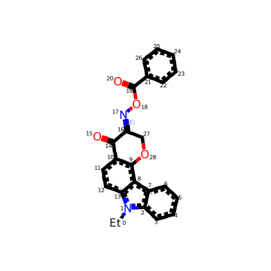 CCn1c2ccccc2c2c3c(ccc21)C(=O)/C(=N/OC(=O)c1ccccc1)CO3